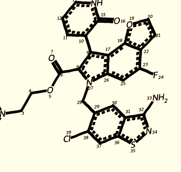 CN(C)CCOC(=O)c1c(-c2ccc[nH]c2=O)c2c3occc3c(F)cc2n1Cc1cc2c(N)nsc2cc1Cl